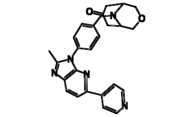 Cc1nc2ccc(-c3ccncc3)nc2n1-c1ccc(CN2C3COCC2CC(=O)C3)cc1